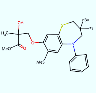 CCCCC1(CC)CSc2cc(OCC(C)(O)C(=O)OC)c(SC)cc2N(c2ccccc2)C1